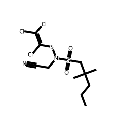 CCCC(C)(C)CS(=O)(=O)N(CC#N)SC(Cl)=C(Cl)Cl